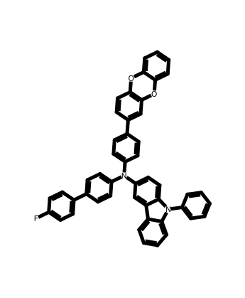 Fc1ccc(-c2ccc(N(c3ccc(-c4ccc5c(c4)Oc4ccccc4O5)cc3)c3ccc4c(c3)c3ccccc3n4-c3ccccc3)cc2)cc1